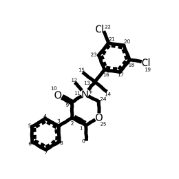 CC1=C(c2ccccc2)C(=O)[N+](C)(C(C)(C)c2cc(Cl)cc(Cl)c2)CO1